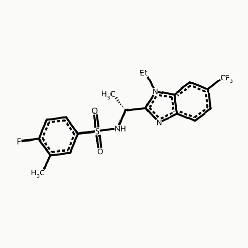 CCn1c([C@@H](C)NS(=O)(=O)c2ccc(F)c(C)c2)nc2ccc(C(F)(F)F)cc21